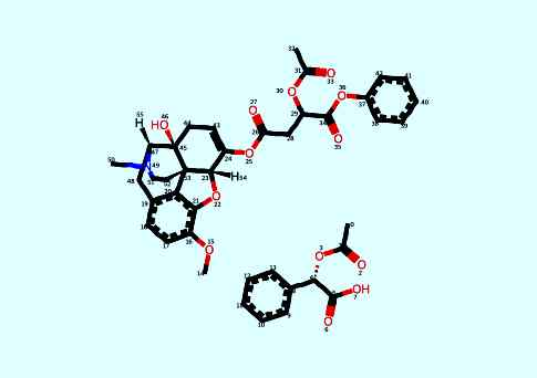 CC(=O)O[C@H](C(=O)O)c1ccccc1.COc1ccc2c3c1O[C@H]1C(OC(=O)CC(OC(C)=O)C(=O)Oc4ccccc4)=CC[C@@]4(O)[C@@H](C2)N(C)CC[C@]314